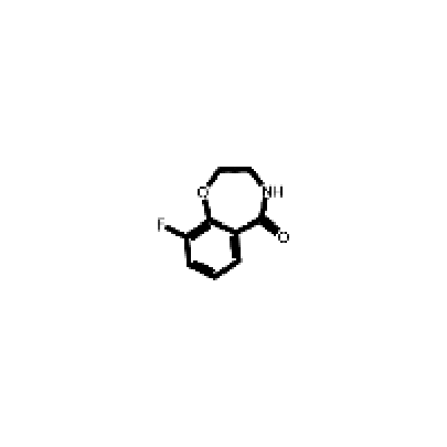 O=C1NCCOc2c(F)cccc21